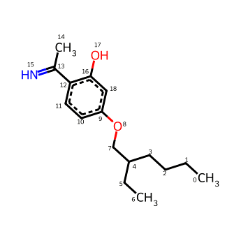 CCCCC(CC)COc1ccc(C(C)=N)c(O)c1